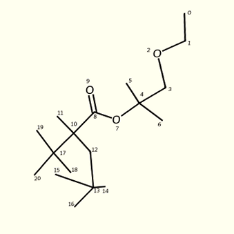 CCOCC(C)(C)OC(=O)C(C)(CC(C)(C)C)C(C)(C)C